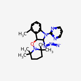 Cc1cccc2c1C(ON1C(C)(C)CCCC1(C)C)C(N=[N+]=[N-])N2c1ncccn1